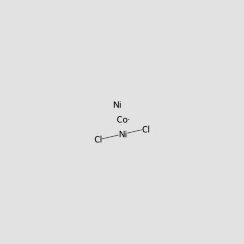 [Cl][Ni][Cl].[Co].[Ni]